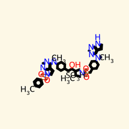 Cc1ccc(S(=O)(=O)n2ccc3c(N(C)C4CCC(C(C(O)C5CN(S(=O)(=O)CC6CCC(N(C)c7ncnc8[nH]ccc78)CC6)CC5C)S(=O)(=O)O)CC4)ncnc32)cc1